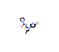 Cc1cn(-c2ccc(Cl)nc2)c(=NC(=O)N2CCCC2)s1